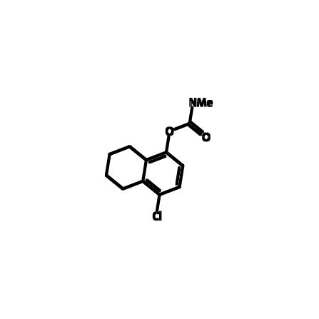 CNC(=O)Oc1ccc(Cl)c2c1CCCC2